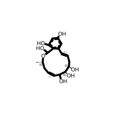 C[C@H]1C/C=C\C(O)[C@@H](O)[C@@H](O)C/C=C/c2cc(O)cc(O)c2C(O)O1